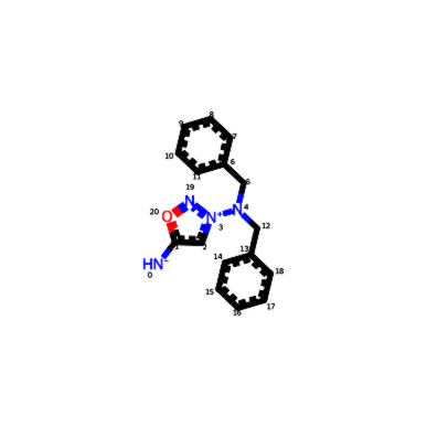 [NH-]c1c[n+](N(Cc2ccccc2)Cc2ccccc2)no1